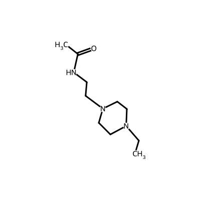 CCN1CCN(CCNC(C)=O)CC1